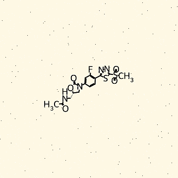 CC(=O)NC[C@H]1CN(c2ccc(-c3nnc(S(C)(=O)=O)s3)c(F)c2)C(=O)O1